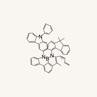 C=C/C=C\C1=C(C)c2cccc3c2B(N1c1cccc2c1-c1ccccc1C2(C)C)N(c1ccc2c(c1)c1ccccc1n2-c1ccccc1)c1ccccc1-3